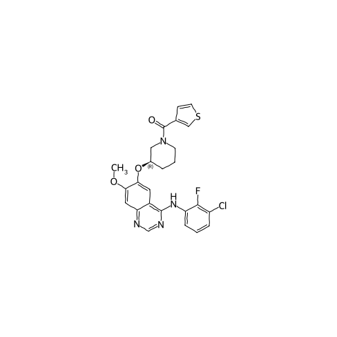 COc1cc2ncnc(Nc3cccc(Cl)c3F)c2cc1O[C@@H]1CCCN(C(=O)c2ccsc2)C1